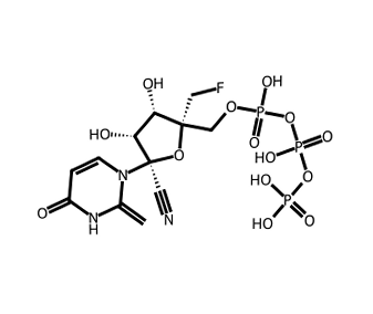 C=C1NC(=O)C=CN1[C@]1(C#N)O[C@](CF)(COP(=O)(O)OP(=O)(O)OP(=O)(O)O)[C@@H](O)[C@H]1O